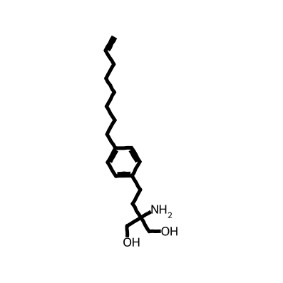 C=CCCCCCCc1ccc(CCC(N)(CO)CO)cc1